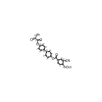 CCCCCCCCc1ccc(C(=O)Oc2ccc(-c3ccc(OC(=O)C(Cl)C(C)C)cc3)cc2)cc1C#N